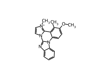 COc1ccc2c(c1C)c1n(cc[n+]1C)c1nc3ccccc3n21